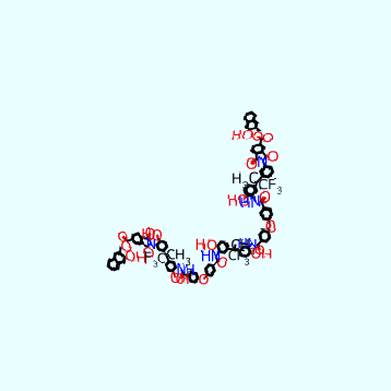 CC(c1cccc(N2C(=O)c3ccc(C(=O)OCc4cc5ccccc5cc4O)cc3C2=O)c1)(c1ccc(O)c(NC(=O)c2ccc(Oc3ccc(C(=O)Nc4cc(C(C)(c5ccc(O)c(NC(=O)c6ccc(Oc7ccc(C(=O)Nc8cc(C(C)(c9ccc(O)c(N%10C(=O)c%11ccc(C(=O)OCc%12cc%13ccccc%13cc%12O)cc%11C%10=O)c9)C(F)(F)F)ccc8O)cc7)cc6)c5)C(F)(F)F)ccc4O)cc3)cc2)c1)C(F)(F)F